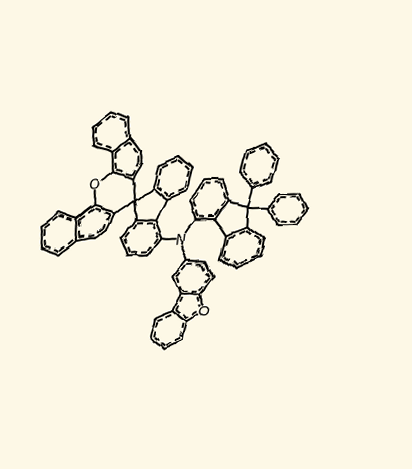 c1ccc(C2(c3ccccc3)c3ccccc3-c3c(N(c4ccc5oc6ccccc6c5c4)c4cccc5c4-c4ccccc4C54c5ccc6ccccc6c5Oc5c4ccc4ccccc54)cccc32)cc1